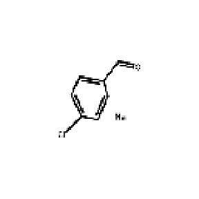 O=Cc1ccc(Cl)cc1.[Na]